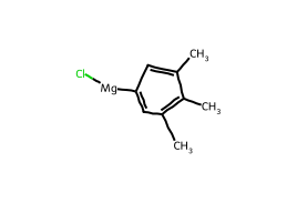 Cc1c[c]([Mg][Cl])cc(C)c1C